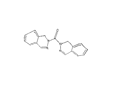 O=C(N1Cc2ccccc2C=N1)N1Cc2ccccc2C=N1